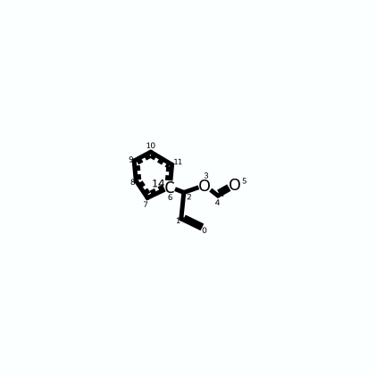 C=CC(O[C]=O)[14c]1ccccc1